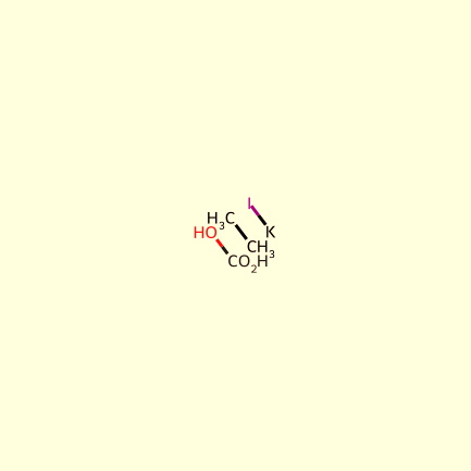 CC.O=C(O)O.[K][I]